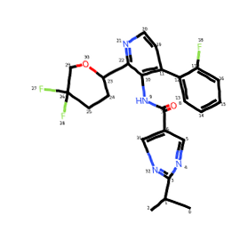 CC(C)c1ncc(C(=O)Nc2c(-c3ccccc3F)ccnc2C2CCC(F)(F)CO2)cn1